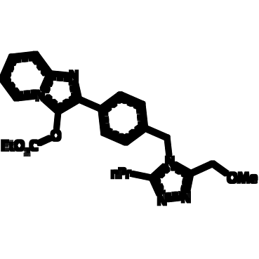 CCCc1nnc(COC)n1Cc1ccc(-c2nc3ccccn3c2OC(=O)OCC)cc1